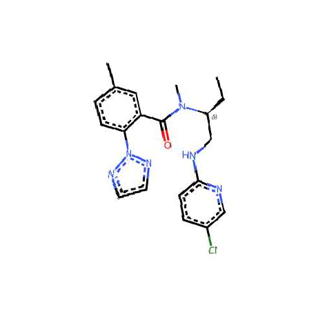 CC[C@@H](CNc1ccc(Cl)cn1)N(C)C(=O)c1cc(C)ccc1-n1nccn1